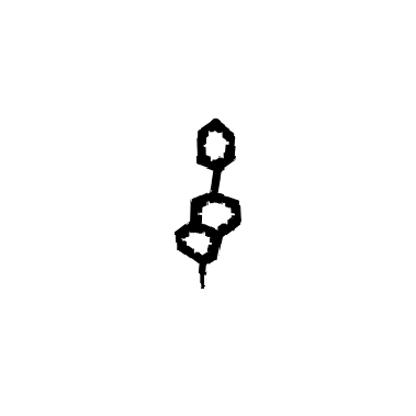 Ic1ccc2cc(-c3ccccc3)ccc2c1